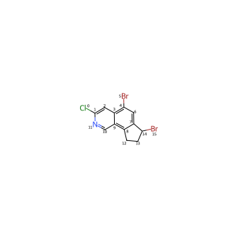 Clc1cc2c(Br)cc3c(c2cn1)CCC3Br